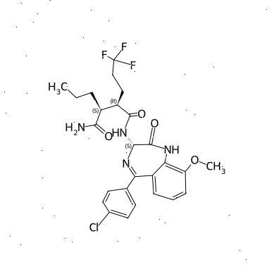 CCC[C@H](C(N)=O)[C@@H](CCC(F)(F)F)C(=O)N[C@H]1N=C(c2ccc(Cl)cc2)c2cccc(OC)c2NC1=O